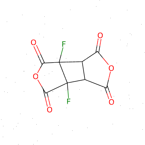 O=C1OC(=O)C2C1C1(F)C(=O)OC(=O)C21F